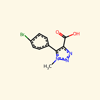 Cn1nnc(C(=O)O)c1-c1ccc(Br)cc1